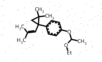 CCOC(C)Oc1ccc(C2(C=C(C)C)CC2(C)C)cc1